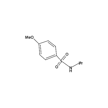 COc1ccc(S(=O)(=O)NC(C)C)cc1